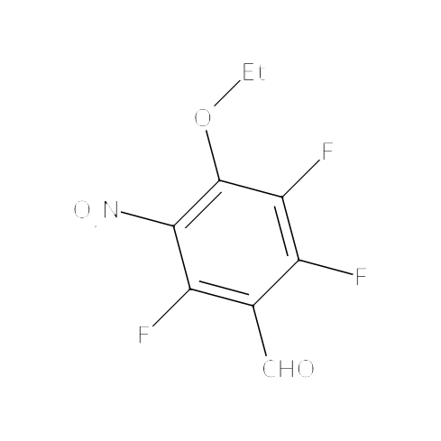 CCOc1c(F)c(F)c(C=O)c(F)c1[N+](=O)[O-]